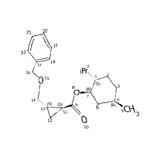 CC(C)[C@@H]1CC[C@@H](C)C[C@H]1OC(=O)[C@H]1C[C@@H]1COCc1ccccc1